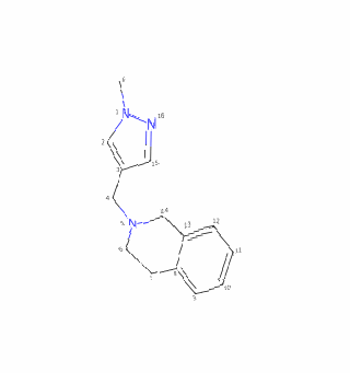 Cn1cc(CN2CCc3cc[c]cc3C2)cn1